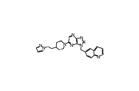 c1cnc2ccc(Cn3nnc4ncc(N5CCC(CCn6cccn6)CC5)nc43)cc2c1